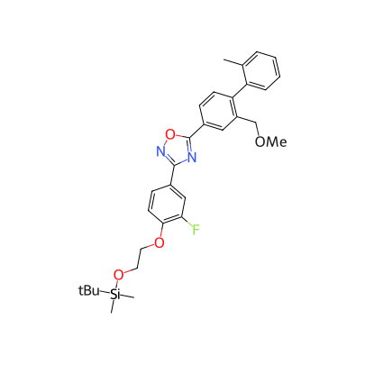 COCc1cc(-c2nc(-c3ccc(OCCO[Si](C)(C)C(C)(C)C)c(F)c3)no2)ccc1-c1ccccc1C